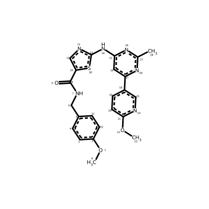 COc1ccc(CNC(=O)c2cnc(Nc3cc(-c4ccc(OC)nc4)nc(C)n3)s2)cc1